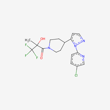 CC(O)(C(=O)N1CCC(c2ccnn2-c2ccc(Cl)cn2)CC1)C(F)(F)F